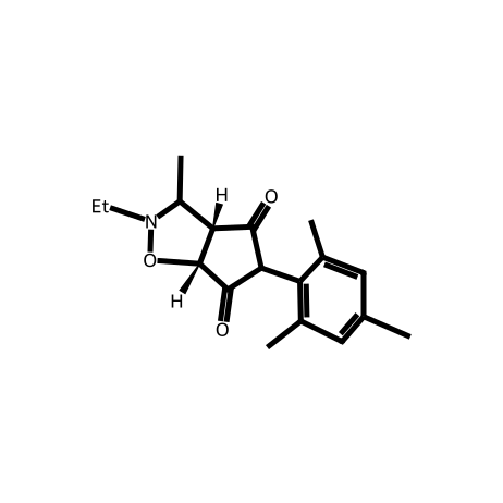 CCN1O[C@H]2C(=O)C(c3c(C)cc(C)cc3C)C(=O)[C@H]2C1C